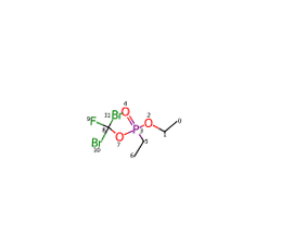 CCOP(=O)(CC)OC(F)(Br)Br